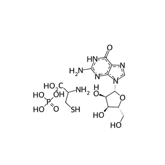 NC(CS)C(=O)O.Nc1nc2c(ncn2[C@@H]2O[C@H](CO)[C@@H](O)[C@H]2O)c(=O)[nH]1.O=P(O)(O)O